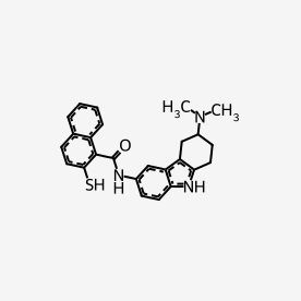 CN(C)C1CCc2[nH]c3ccc(NC(=O)c4c(S)ccc5ccccc45)cc3c2C1